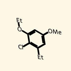 CCOc1cc(OC)cc(CC)c1Cl